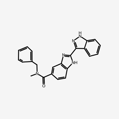 CN(Cc1ccccc1)C(=O)c1ccc2[nH]c(-c3n[nH]c4ccccc34)nc2c1